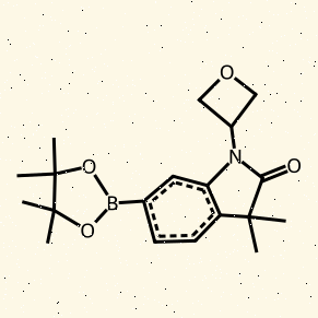 CC1(C)C(=O)N(C2COC2)c2cc(B3OC(C)(C)C(C)(C)O3)ccc21